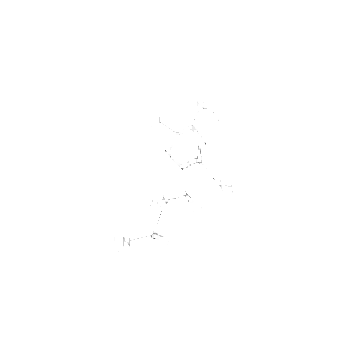 NC(=S)NC(=O)c1nc(Cl)c(N)nc1N